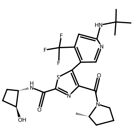 C[C@H]1CCCN1C(=O)c1nc(C(=O)N[C@H]2CC[C@@H]2O)sc1-c1cnc(NC(C)(C)C)cc1C(F)(F)F